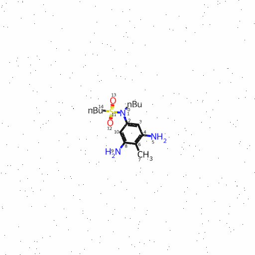 CCCCN(c1cc(N)c(C)c(N)c1)S(=O)(=O)CCCC